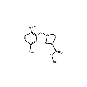 CSc1ccc(C(=O)O)c(O[C@H]2CCN(C(=O)OC(C)(C)C)C2)c1